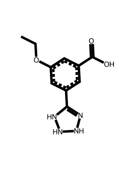 CCOc1cc(C(=O)O)cc(C2=NNNN2)c1